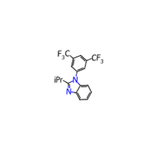 CC(C)c1nc2ccccc2n1-c1cc(C(F)(F)F)cc(C(F)(F)F)c1